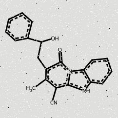 Cc1c(CC(O)c2ccccc2)c(=O)n2c([nH]c3ccccc32)c1C#N